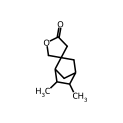 CC1C2CC(C1C)C1(COC(=O)C1)C2